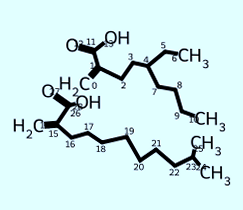 C=C(CCC(CC)CCCC)C(=O)O.C=C(CCCCCCCC(C)C)C(=O)O